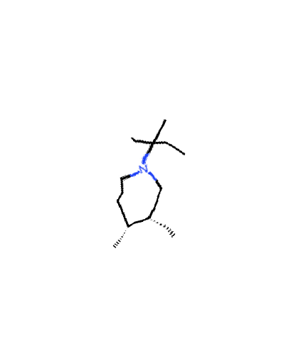 C[C@@H]1CCN(C(C)(C)C)C[C@@H]1C